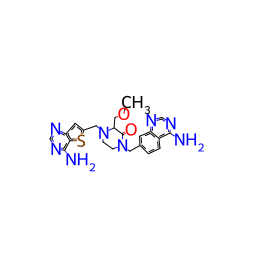 COCC1C(=O)N(Cc2ccc3c(N)ncnc3c2)CCN1Cc1cc2ncnc(N)c2s1